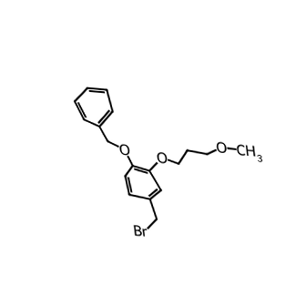 COCCCOc1cc(CBr)ccc1OCc1ccccc1